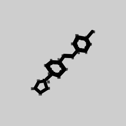 Cc1ccc(C=Cc2ccc(N3CCCC3)cc2)cc1